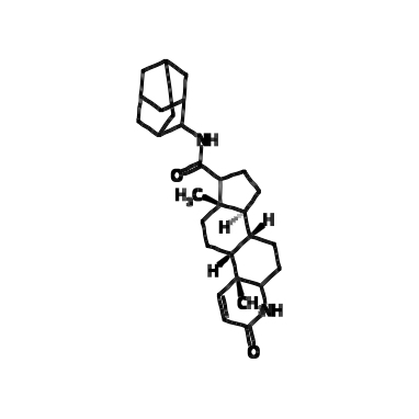 C[C@]12C=CC(=O)NC1CC[C@@H]1[C@H]2CC[C@]2(C)C(C(=O)NC3C4CC5CC(C4)CC3C5)CC[C@@H]12